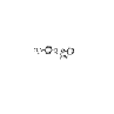 CCCC(COc1ccc([N+](=O)[O-])cc1)Oc1ccccc1